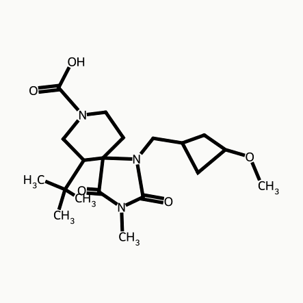 COC1CC(CN2C(=O)N(C)C(=O)C23CCN(C(=O)O)CC3C(C)(C)C)C1